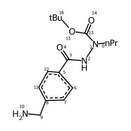 CCCN(NC(=O)c1ccc(CN)cc1)C(=O)OC(C)(C)C